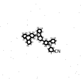 N#Cc1cccc(-n2c3ccccc3c3cc(C4=CCC5C(=C4)c4ccccc4N5c4ccc5c6ccccc6c6ccccc6c5c4)ccc32)c1